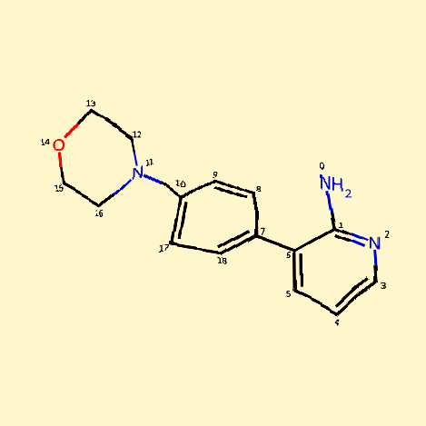 Nc1ncccc1-c1ccc(N2CCOCC2)cc1